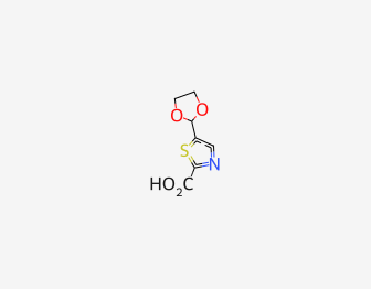 O=C(O)c1ncc(C2OCCO2)s1